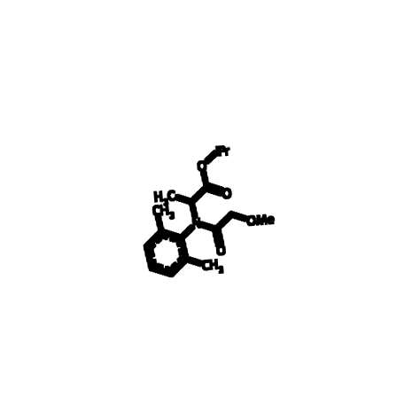 COCC(=O)N(c1c(C)cccc1C)C(C)C(=O)OC(C)C